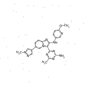 COc1ccc(Nc2nc3ccc(-c4cnn(C)c4)cn3c2-c2nc(C)nc(N)n2)cn1